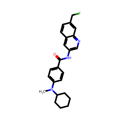 CN(c1ccc(C(=O)Nc2cnc3cc(CF)ccc3c2)cc1)C1CCCCC1